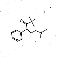 CN(C)CCC(C(=O)C(C)(C)C)c1ccccc1